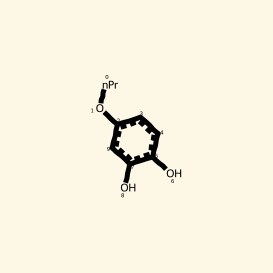 CCCOc1ccc(O)c(O)c1